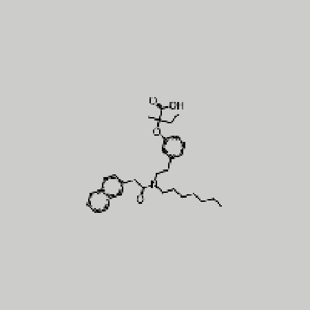 CCCCCCCN(CCc1cccc(OC(C)(CC)C(=O)O)c1)C(=O)Cc1ccc2ccccc2c1